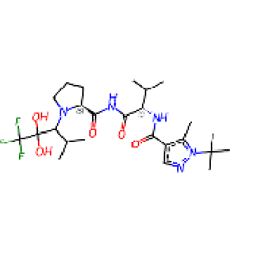 Cc1c(C(=O)N[C@H](C(=O)NC(=O)[C@@H]2CCCN2C(C(C)C)C(O)(O)C(F)(F)F)C(C)C)cnn1C(C)(C)C